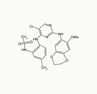 COc1cc2c(cc1Nc1ncc(Cl)c(Nc3ccc(C)cc3NS(C)(=O)=O)n1)OCCO2